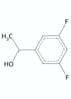 C[C](O)c1cc(F)cc(F)c1